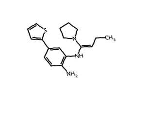 CCC=C(Nc1cc(-c2cccs2)ccc1N)N1CCCC1